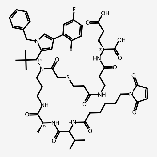 CC(C)C(NC(=O)CCCCCN1C(=O)C=CC1=O)C(=O)N[C@@H](C)C(=O)NCCCN(C(=O)CSCCC(=O)NCCC(=O)N[C@@H](CCC(=O)O)C(=O)O)[C@@H](c1cc(-c2cc(F)ccc2F)cn1Cc1ccccc1)C(C)(C)C